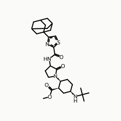 COC(=O)[C@@H]1C[C@H](NC(C)(C)C)CC[C@@H]1N1CCC(NC(=O)c2nc(C34CC5CC(CC(C5)C3)C4)cs2)C1=O